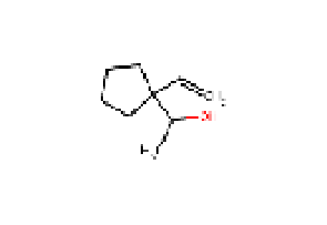 C=CC1(C(C)O)CCCC1